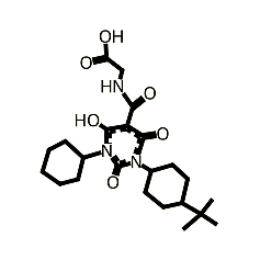 CC(C)(C)C1CCC(n2c(=O)c(C(=O)NCC(=O)O)c(O)n(C3CCCCC3)c2=O)CC1